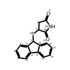 O=C1CC(SC2c3ccccc3-c3ccccc32)C(=O)N1